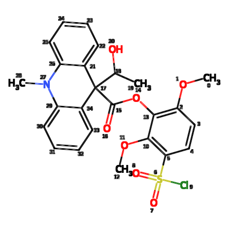 COc1ccc(S(=O)(=O)Cl)c(OC)c1OC(=O)C1(C(C)O)c2ccccc2N(C)c2ccccc21